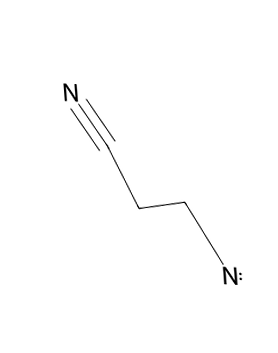 [N]CCC#N